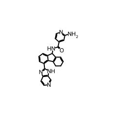 Nc1cc(C(=O)NC2C3=C(CCC=C3)c3c(-c4nc5ccncc5[nH]4)cccc32)ccn1